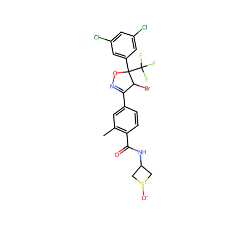 Cc1cc(C2=NOC(c3cc(Cl)cc(Cl)c3)(C(F)(F)F)C2Br)ccc1C(=O)NC1C[S+]([O-])C1